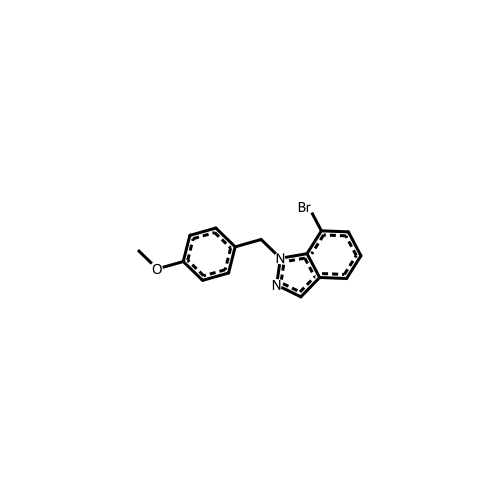 COc1ccc(Cn2ncc3cccc(Br)c32)cc1